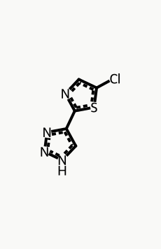 Clc1cnc(-c2c[nH]nn2)s1